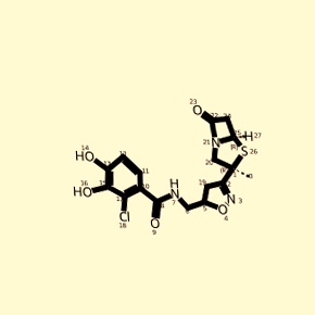 C[C@]1(C2=NOC(CNC(=O)c3ccc(O)c(O)c3Cl)C2)CN2C(=O)C[C@H]2S1